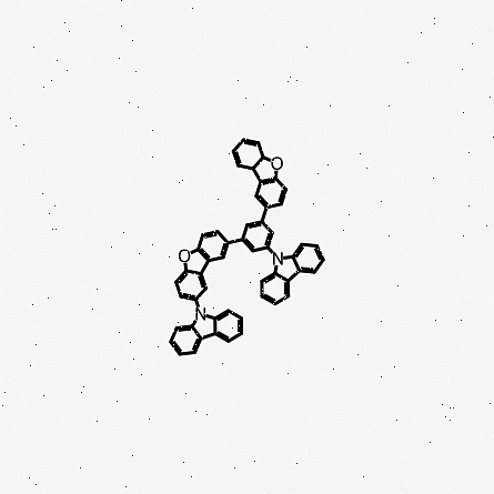 C1=CC2Oc3ccc(-c4cc(-c5ccc6oc7ccc(-n8c9ccccc9c9ccccc98)cc7c6c5)cc(-n5c6ccccc6c6ccccc65)c4)cc3C2C=C1